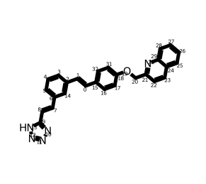 C(=Cc1cccc(C=Cc2nnn[nH]2)c1)c1ccc(OCc2ccc3ccccc3n2)cc1